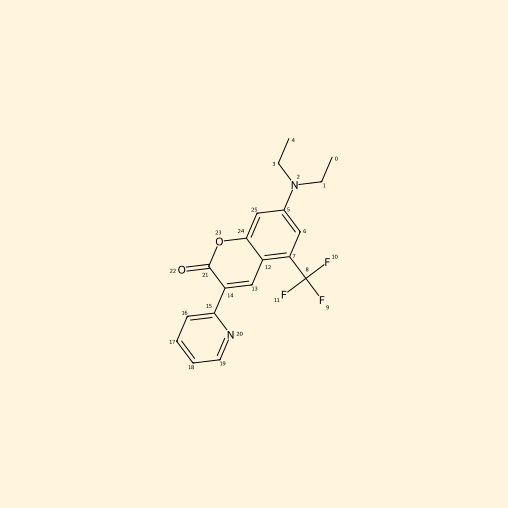 CCN(CC)c1cc(C(F)(F)F)c2cc(-c3ccccn3)c(=O)oc2c1